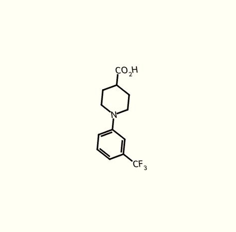 O=C(O)C1CCN(c2cccc(C(F)(F)F)c2)CC1